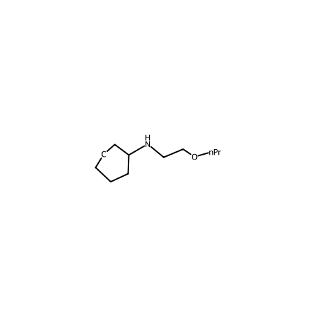 CCCOCCNC1CCCCC1